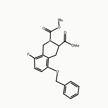 COC(=O)C1Cc2c(OCc3ccccc3)ccc(F)c2CN1C(=O)OC(C)(C)C